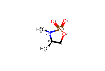 C[C@@H]1COS(=O)(=O)N1C